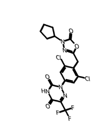 O=c1[nH]c(=O)n(-c2cc(Cl)c(Cc3nn(C4CCCC4)c(=O)o3)c(Cl)c2)nc1C(F)(F)F